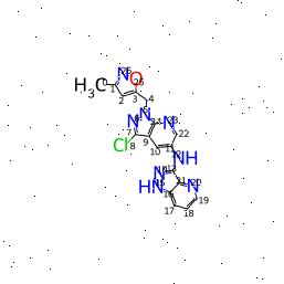 Cc1cc(Cn2nc(Cl)c3cc(Nc4n[nH]c5cccnc45)cnc32)on1